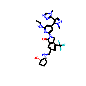 CCNc1cc(-c2c(-c3nncn3C)cnn2C)cc(N2Cc3c(cc(CN[C@@H]4CCC[C@@H]4O)cc3C(F)(F)F)C2=O)n1